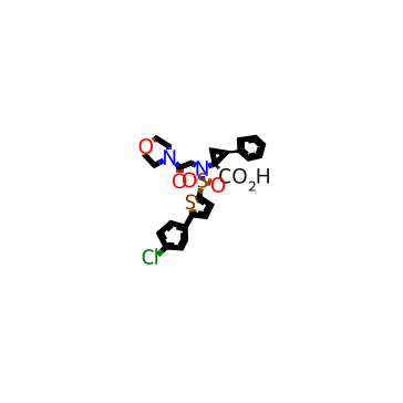 O=C(CN([C@]1(C(=O)O)C[C@H]1c1ccccc1)S(=O)(=O)c1ccc(-c2ccc(Cl)cc2)s1)N1CCOCC1